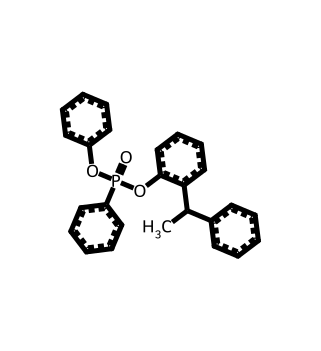 CC(c1ccccc1)c1ccccc1OP(=O)(Oc1ccccc1)c1ccccc1